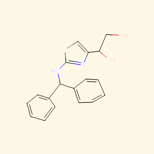 OCC(O)c1csc(NC(c2ccccc2)c2ccccc2)n1